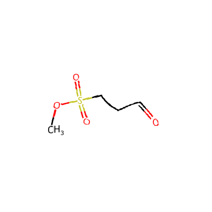 COS(=O)(=O)CCC=O